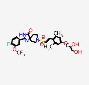 Cc1cc(OCC(O)CO)cc(C)c1C=CS(=O)(=O)N1CCC2(CC1)N=C(c1ccc(F)c(OC(F)(F)F)c1)NC2=O